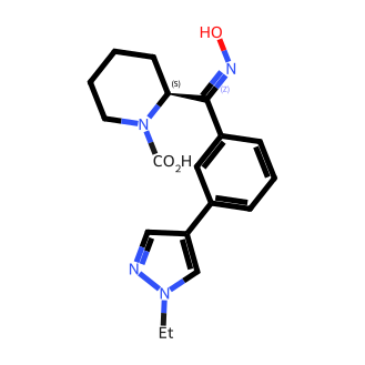 CCn1cc(-c2cccc(/C(=N/O)[C@@H]3CCCCN3C(=O)O)c2)cn1